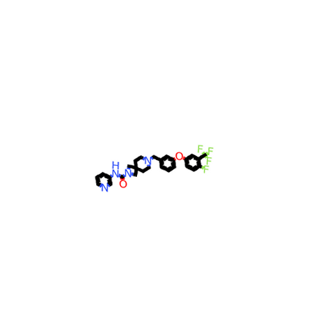 O=C(Nc1cccnc1)N1CC2(CCN(Cc3cccc(Oc4ccc(F)c(C(F)(F)F)c4)c3)CC2)C1